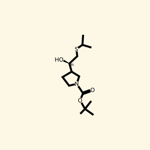 CC(C)SC[C@H](O)C1CCN(C(=O)OC(C)(C)C)C1